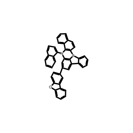 c1ccc2c(c1)B1c3ccc4ccccc4c3N(c3cccc4ccccc34)c3cc(-c4ccc5oc6ccccc6c5c4)cc-2c31